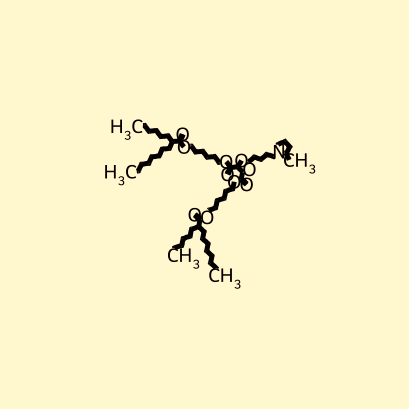 CCCCCCCCC(CCCCCC)C(=O)OCCCCCCOC(=O)C1OC(CCCCN2CCCC2C)OC1C(=O)OCCCCCCOC(=O)C(CCCCCC)CCCCCCCC